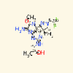 COc1nc(C2=NN(CC(F)F)CC2(C)c2ccnc(NC[C@H](C)O)n2)cnc1N